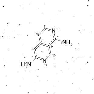 Nc1cc2ccnc(N)c2cn1